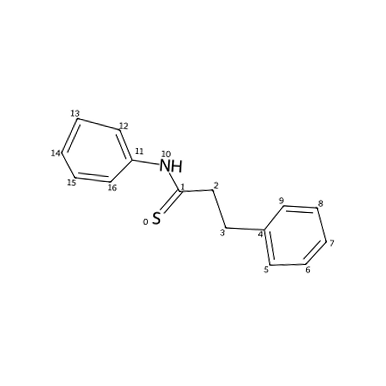 S=C(CCc1ccccc1)Nc1ccccc1